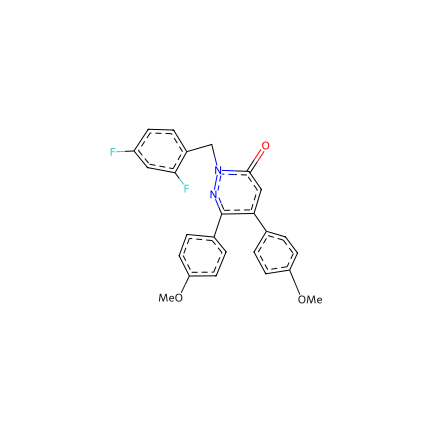 COc1ccc(-c2cc(=O)n(Cc3ccc(F)cc3F)nc2-c2ccc(OC)cc2)cc1